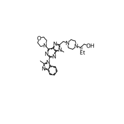 CC[C@@H](CO)N1CCN(Cc2nc3c(N4CCOCC4)nc(-n4c(C)nc5ccccc54)nc3n2C)CC1